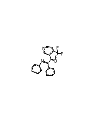 O=C(c1cnccc1C(F)(F)F)S(=Nc1ccccc1)c1ccccc1